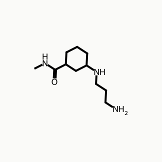 CNC(=O)C1CCCC(NCCCN)C1